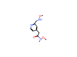 CONCc1cc(CC(=O)N(C)OC)ccn1